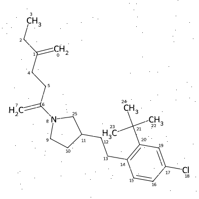 C=C(CC)CCC(=C)N1CCC(CCc2ccc(Cl)cc2C(C)(C)C)C1